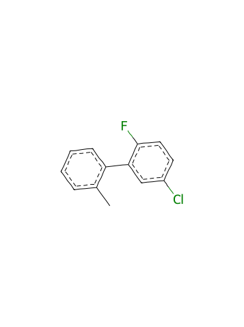 Cc1ccccc1-c1cc(Cl)ccc1F